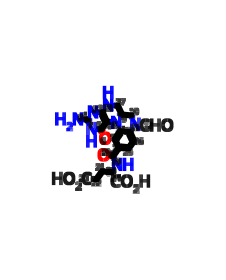 Nc1nc2c(c(=O)[nH]1)N=C(CN(C=O)c1ccc(C(=O)N[C@@H](CCC(=O)O)C(=O)O)cc1)CN2